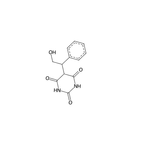 O=C1NC(=O)C(C(CO)c2ccccc2)C(=O)N1